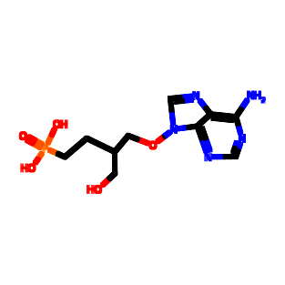 Nc1ncnc2c1ncn2OCC(CO)CCP(=O)(O)O